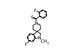 CN1CC2(CCN(C(=S)c3ccccc3F)CC2)c2ccc(F)cc21